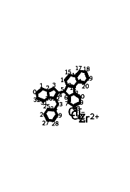 C1=CC2=CC(C3c4ccccc4-c4c3ccc3ccccc43)=C(Cc3ccccc3)C2C=C1.[Cl-].[Cl-].[Zr+2]